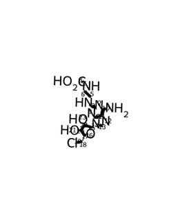 Nc1nc(NCCNC(=O)O)nc2c1ncn2[C@@H]1O[C@H](CCl)[C@@H](O)[C@H]1O